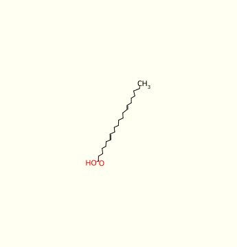 CCCCCCC=CCCCCCCC=CCCCCCC(=O)O